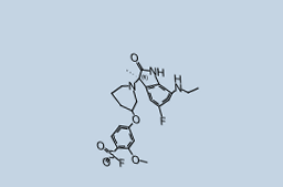 CCNc1cc(F)cc2c1NC(=O)[C@]2(C)N1CCCC(Oc2ccc(S(=O)(=O)F)c(OC)c2)C1